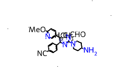 COc1ccc(/C(C)=C(/N=C(\N(C)C=O)N2CCC(N)CC2)c2ccc(C#N)cc2)cn1